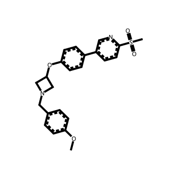 COc1ccc(CN2CC(Oc3ccc(-c4ccc(S(C)(=O)=O)nc4)cc3)C2)cc1